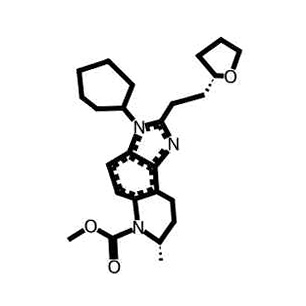 COC(=O)N1c2ccc3c(nc(CC[C@@H]4CCCO4)n3C3CCCCC3)c2CC[C@@H]1C